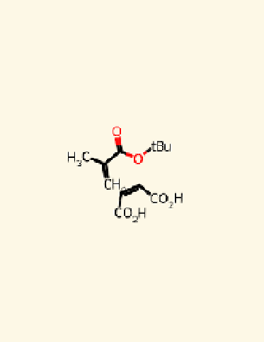 C=C(C)C(=O)OC(C)(C)C.O=C(O)/C=C\C(=O)O